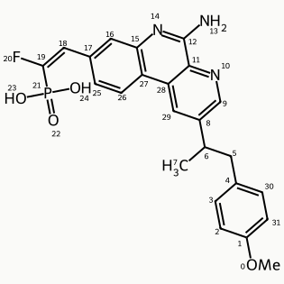 COc1ccc(CC(C)c2cnc3c(N)nc4cc(/C=C(/F)P(=O)(O)O)ccc4c3c2)cc1